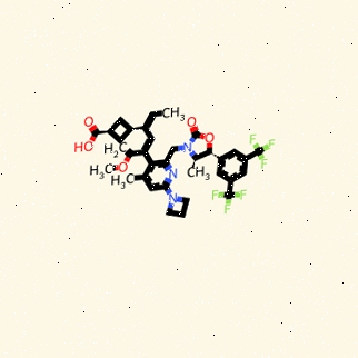 C=C(OC)/C(=C\C(=C/C)[C@H]1C[C@@H](C(=O)O)C1)c1c(C)cc(N2CCC2)nc1CN1C(=O)O[C@H](c2cc(C(F)(F)F)cc(C(F)(F)F)c2)[C@@H]1C